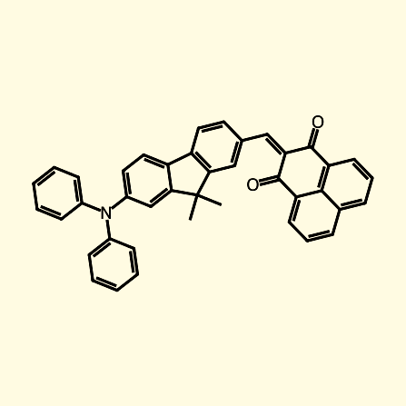 CC1(C)c2cc(C=c3c(=O)c4cccc5cccc(c3=O)c54)ccc2-c2ccc(N(c3ccccc3)c3ccccc3)cc21